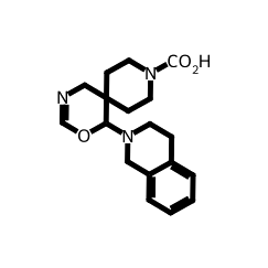 O=C(O)N1CCC2(CC1)CN=COC2N1CCc2ccccc2C1